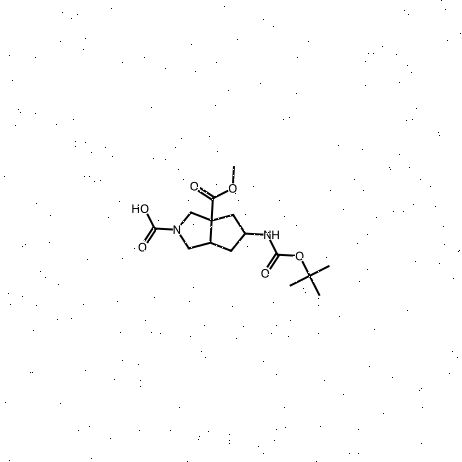 COC(=O)C12CC(NC(=O)OC(C)(C)C)CC1CN(C(=O)O)C2